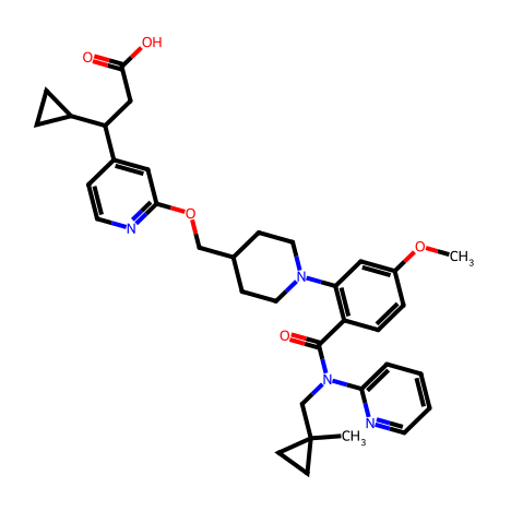 COc1ccc(C(=O)N(CC2(C)CC2)c2ccccn2)c(N2CCC(COc3cc(C(CC(=O)O)C4CC4)ccn3)CC2)c1